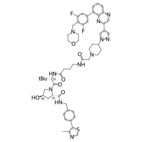 Cc1ncsc1-c1ccc(CNC(=O)[C@@H]2C[C@@H](O)CN2C(=O)[C@@H](NC(=O)CCCNC(=O)CN2CCC(n3cc(-c4cnc5cccc(-c6cc(F)c(CN7CCOCC7)c(F)c6)c5n4)cn3)CC2)C(C)(C)C)cc1